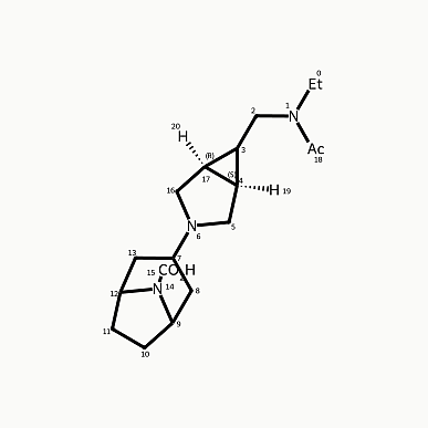 CCN(CC1[C@H]2CN(C3CC4CCC(C3)N4C(=O)O)C[C@@H]12)C(C)=O